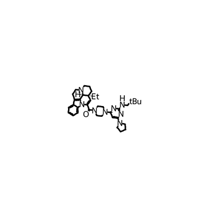 CC[C@@]12C=C(C(=O)N3CCN(c4cc(N5CCCC5)nc(NCC(C)(C)C)n4)CC3)n3c4c(c5ccccc53)CCN(CCC1)[C@H]42